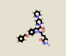 CC(C[CH]C(=O)NC(Cc1ccc(OCc2ccccc2)cc1)C(=O)N1CCC(N2CCCCC2)CC1)C(N)=O